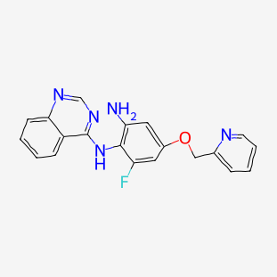 Nc1cc(OCc2ccccn2)cc(F)c1Nc1ncnc2ccccc12